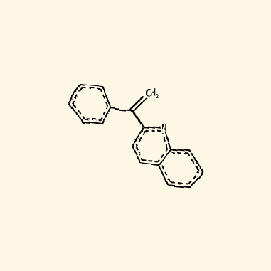 C=C(c1ccccc1)c1ccc2ccccc2n1